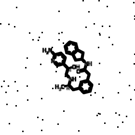 C[C@H](Cc1cccc(CC(=O)NC2Cc3ccccc3C2)c1)NC[C@H](O)c1ccc(N)nc1